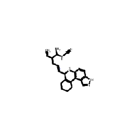 C=CC(C/C=C/C1Nc2ccc3[nH]ncc3c2C2=C1CCCC2)C(N)NC#N